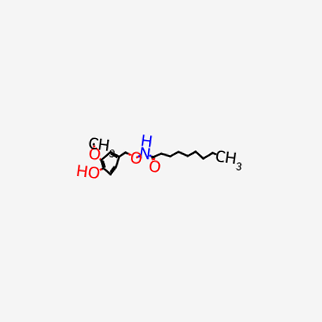 CCCCCCCCC(=O)NOCc1ccc(O)c(OC)c1